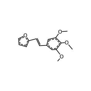 COc1cc(C=Cc2ccco2)cc(OC)c1OC